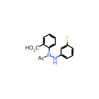 CC(=O)N(Nc1cccc(F)c1)c1ccccc1C(=O)O